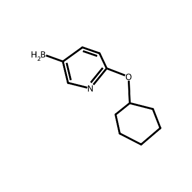 Bc1ccc(OC2CCCCC2)nc1